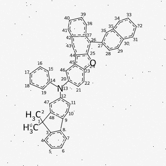 CC1(C)c2ccccc2-c2ccc(N(c3ccccc3)c3ccc4oc5c(-c6ccc7ccccc7c6)c6ccccc6cc5c4c3)cc21